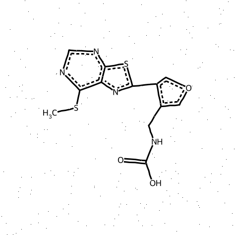 CSc1ncnc2sc(-c3cocc3CNC(=O)O)nc12